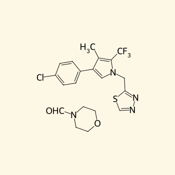 Cc1c(-c2ccc(Cl)cc2)cn(Cc2nncs2)c1C(F)(F)F.O=CN1CCOCC1